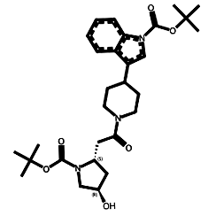 CC(C)(C)OC(=O)N1C[C@H](O)C[C@H]1CC(=O)N1CCC(c2cn(C(=O)OC(C)(C)C)c3ccccc23)CC1